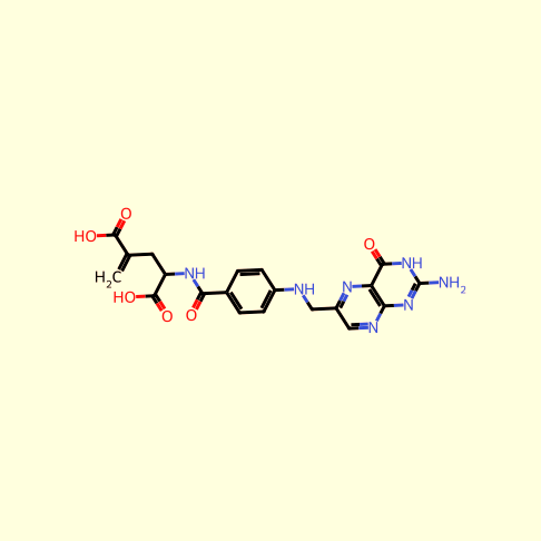 C=C(CC(NC(=O)c1ccc(NCc2cnc3nc(N)[nH]c(=O)c3n2)cc1)C(=O)O)C(=O)O